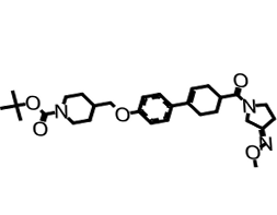 CON=C1CCN(C(=O)C2CC=C(c3ccc(OCC4CCN(C(=O)OC(C)(C)C)CC4)cc3)CC2)C1